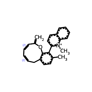 C=C1/C=C\C=C/Cc2ccc(C)c(-c3ccc4ccccc4[n+]3C)c2O1